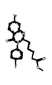 COC(=O)CCCCc1nc2cc(Br)ccc2c(=O)n1-c1ccc(F)cc1